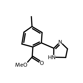 COC(=O)c1ccc(C)cc1C1=NCCN1